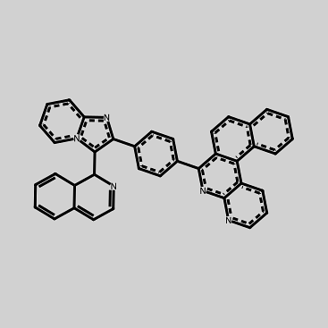 C1=CC2=CC=NC(c3c(-c4ccc(-c5nc6ncccc6c6c5ccc5ccccc56)cc4)nc4ccccn34)C2C=C1